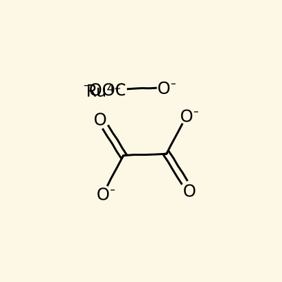 O=C([O-])C(=O)[O-].O=C([O-])[O-].[Ru+4]